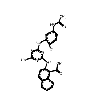 CC(=O)Nc1ccc(Cl)c(Nc2nc(O)nc(Nc3ccc4ccccc4c3C(=O)O)n2)c1